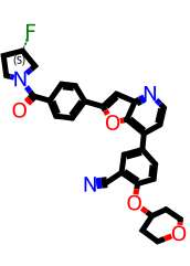 N#Cc1cc(-c2ccnc3cc(-c4ccc(C(=O)N5CC[C@H](F)C5)cc4)oc23)ccc1OC1CCOCC1